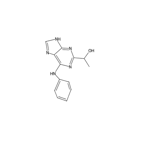 CC(O)c1nc(Nc2ccccc2)c2nc[nH]c2n1